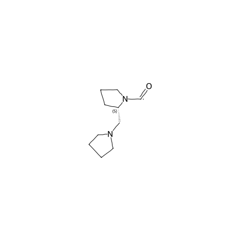 O=[C]N1CCC[C@H]1CN1CCCC1